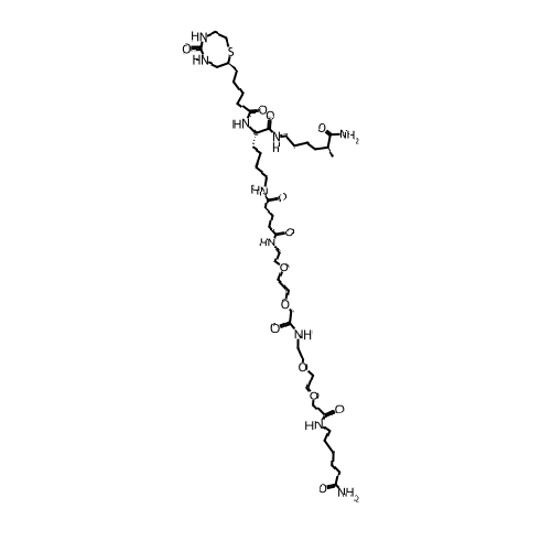 C[C@@H](CCCCNC(=O)[C@H](CCCCNC(=O)CCCC(=O)NCCOCCOCC(=O)NCCOCCOCC(=O)NCCCCCC(N)=O)NC(=O)CCCC[C@H]1CNC(=O)NCCS1)C(N)=O